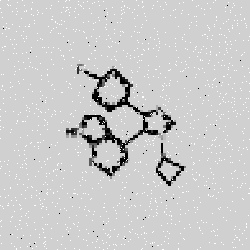 Fc1ccc(-c2ncn(C3CCC3)c2-c2ccnc3[nH]ccc23)cc1